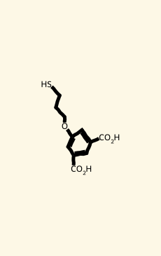 O=C(O)c1cc(OCCCS)cc(C(=O)O)c1